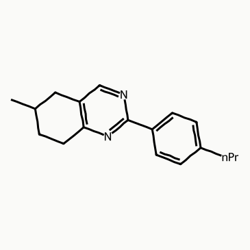 CCCc1ccc(-c2ncc3c(n2)CCC(C)C3)cc1